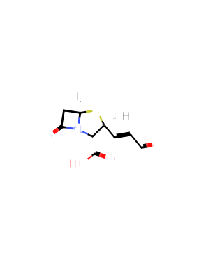 C[C@@]1(C=CC=O)S[C@@H]2CC(=O)N2[C@H]1C(=O)O